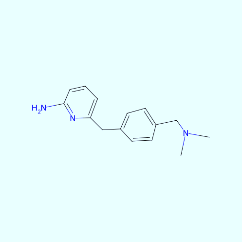 CN(C)Cc1ccc(Cc2cccc(N)n2)cc1